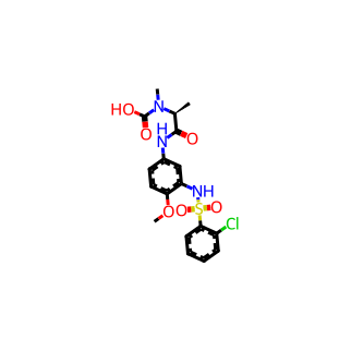 COc1ccc(NC(=O)[C@H](C)N(C)C(=O)O)cc1NS(=O)(=O)c1ccccc1Cl